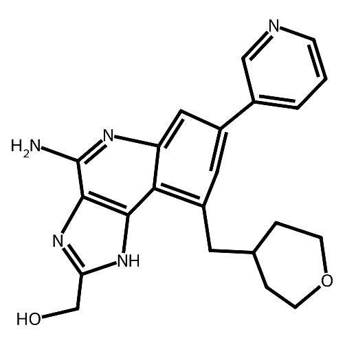 Nc1nc2cc(-c3cccnc3)cc(CC3CCOCC3)c2c2[nH]c(CO)nc12